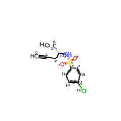 C#CC[C@@H](NS(=O)(=O)c1ccc(Cl)cc1)C(=O)O